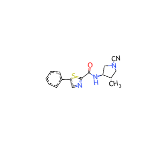 C[C@H]1CN(C#N)C[C@@H]1NC(=O)c1ncc(-c2ccccc2)s1